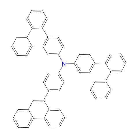 c1ccc(-c2ccccc2-c2ccc(N(c3ccc(-c4ccccc4-c4ccccc4)cc3)c3ccc(-c4cc5ccccc5c5ccccc45)cc3)cc2)cc1